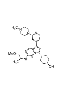 COC[C@H](C)Nc1ncc2c(-c3ccnc(N4CCN(C)CC4)c3)cc([C@H]3CC[C@H](O)CC3)n2n1